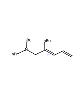 C=C/C=C(\CCCC)CN(CCC)C(C)CC